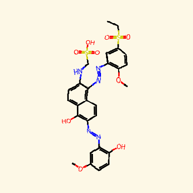 CCS(=O)(=O)c1ccc(OC)c(/N=N/c2c(NCS(=O)(=O)O)ccc3c(O)c(/N=N/c4cc(OC)ccc4O)ccc23)c1